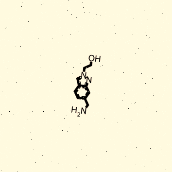 NCc1ccc2cn(CCO)nc2c1